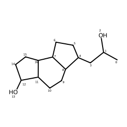 CC(O)CC1CCC2C1CCC1C(O)CCC12